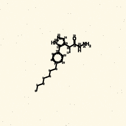 CCCCCCCc1ccc(-c2[nH]ncc2C(C)C(=O)NN)cc1